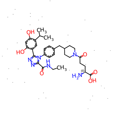 CCNC(=O)c1nnc(-c2cc(C(C)C)c(O)cc2O)n1-c1ccc(CC2CCN(C(=O)CC[C@H](N)C(=O)O)CC2)cc1